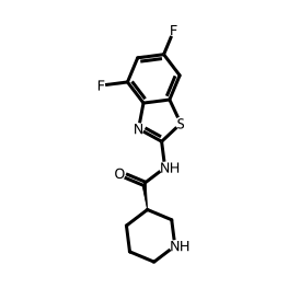 O=C(Nc1nc2c(F)cc(F)cc2s1)[C@@H]1CCCNC1